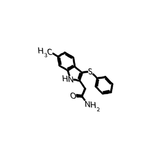 Cc1ccc2c(Sc3ccccc3)c(CC(N)=O)[nH]c2c1